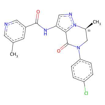 Cc1cncc(C(=O)Nc2cnn3c2C(=O)N(c2ccc(Cl)cc2)C[C@@H]3C)c1